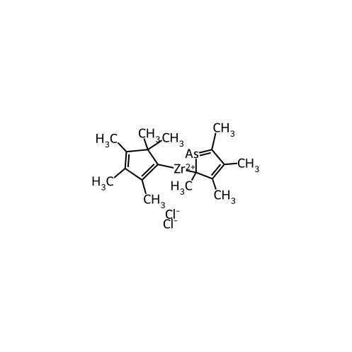 CC1=[As][C](C)([Zr+2][C]2=C(C)C(C)=C(C)C2(C)C)C(C)=C1C.[Cl-].[Cl-]